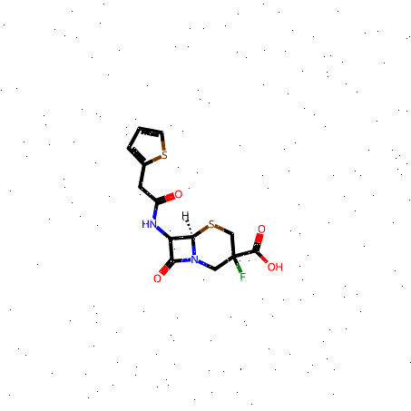 O=C(Cc1cccs1)NC1C(=O)N2CC(F)(C(=O)O)CS[C@H]12